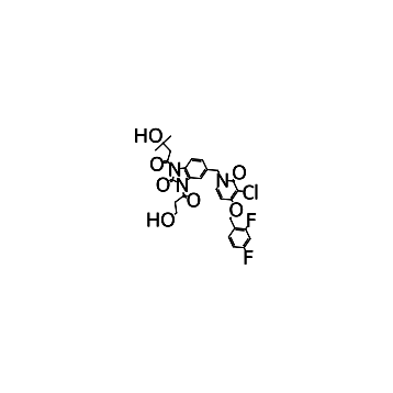 CC(C)(O)CC(=O)n1c(=O)n(C(=O)CCO)c2cc(Cn3ccc(OCc4ccc(F)cc4F)c(Cl)c3=O)ccc21